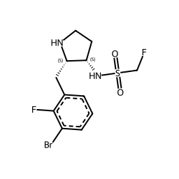 O=S(=O)(CF)N[C@H]1CCN[C@H]1Cc1cccc(Br)c1F